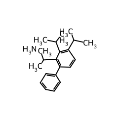 CC(C)c1ccc(-c2ccccc2)c(C(C)C)c1C(C)C.N